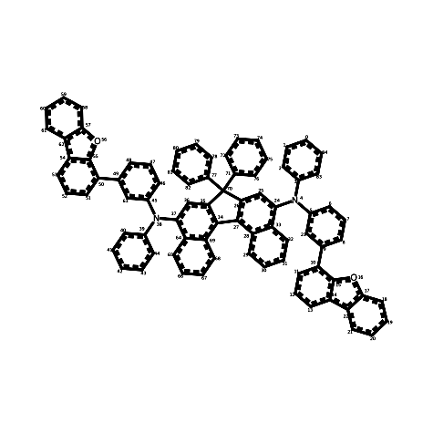 c1ccc(N(c2cccc(-c3cccc4c3oc3ccccc34)c2)c2cc3c(c4ccccc24)-c2c(cc(N(c4ccccc4)c4cccc(-c5cccc6c5oc5ccccc56)c4)c4ccccc24)C3(c2ccccc2)c2ccccc2)cc1